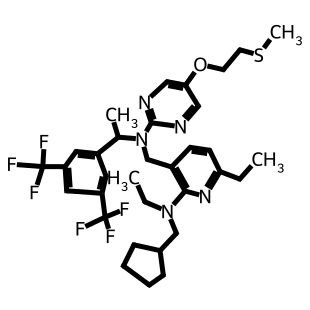 CCc1ccc(CN(c2ncc(OCCSC)cn2)C(C)c2cc(C(F)(F)F)cc(C(F)(F)F)c2)c(N(CC)CC2CCCC2)n1